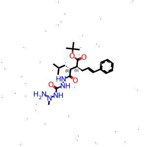 CC(C)C[C@@H](C(=O)NNC(=O)NN(C)N)[C@H](CC=Cc1ccccc1)C(=O)OC(C)(C)C